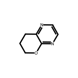 [c]1cnc2c(n1)CCCO2